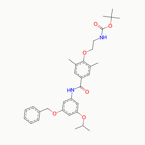 Cc1cc(C(=O)Nc2cc(OCc3ccccc3)cc(OC(C)C)c2)cc(C)c1OCCNC(=O)OC(C)(C)C